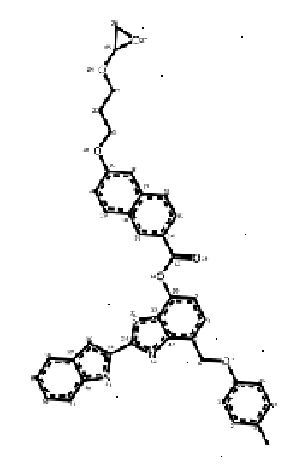 Cc1ccc(OCc2ccc(OC(=O)c3ccc4cc(OCCCOC5CO5)ccc4c3)c3sc(-c4cc5ccccc5s4)nc23)cc1